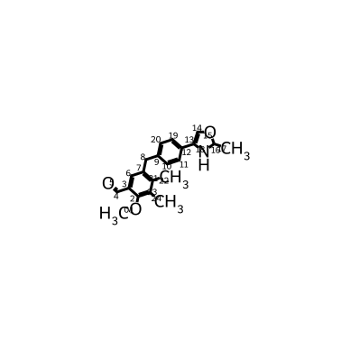 COc1c(C=O)cc(Cc2ccc(C3=COC(C)N3)cc2)c(C)c1C